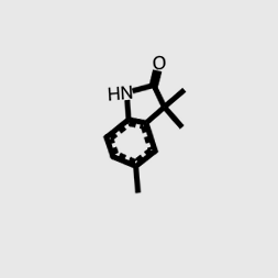 Cc1ccc2c(c1)C(C)(C)C(=O)N2